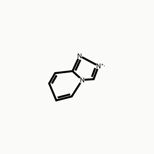 C1=CC2=N[N+]=CN2C=C1